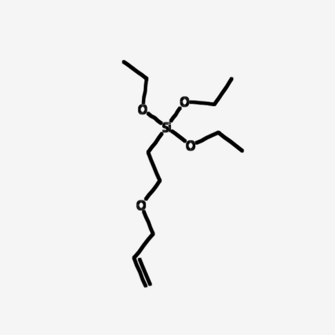 C=CCOCC[Si](OCC)(OCC)OCC